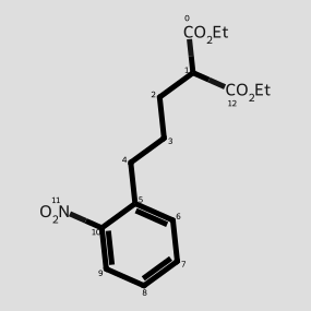 CCOC(=O)C(CCCc1ccccc1[N+](=O)[O-])C(=O)OCC